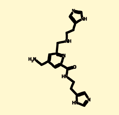 NCc1cc(CNCCc2cnc[nH]2)nc(C(=O)NCCc2cnc[nH]2)c1